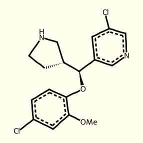 COc1cc(Cl)ccc1O[C@H](c1cncc(Cl)c1)[C@@H]1CCNC1